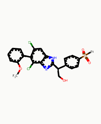 CCS(=O)(=O)c1ccc(C(CO)c2nc3c(Cl)c(-c4ccccc4OC(F)(F)F)c(Cl)cc3[nH]2)cc1